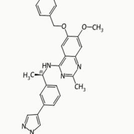 COc1cc2nc(C)nc(N[C@H](C)c3cccc(-c4cn[nH]c4)c3)c2cc1OCc1ccccc1